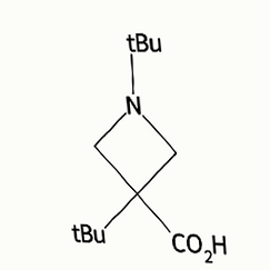 CC(C)(C)N1CC(C(=O)O)(C(C)(C)C)C1